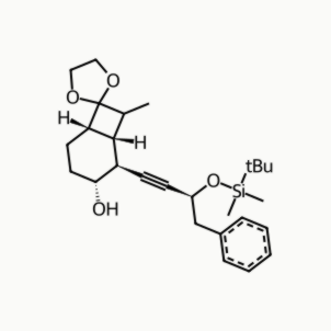 CC1[C@@H]2[C@@H](C#C[C@H](Cc3ccccc3)O[Si](C)(C)C(C)(C)C)[C@H](O)CC[C@@H]2C12OCCO2